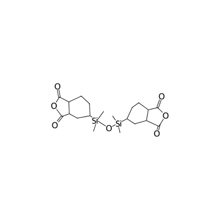 C[Si](C)(O[Si](C)(C)C1CCC2C(=O)OC(=O)C2C1)C1CCC2C(=O)OC(=O)C2C1